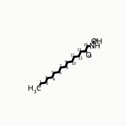 CCCCCCCCCCCCCCC(=O)CNO